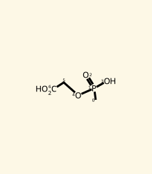 CP(=O)(O)OCC(=O)O